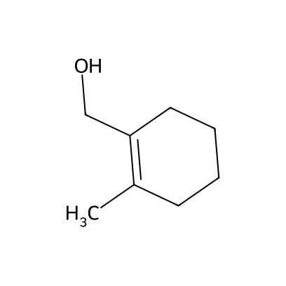 CC1=C(CO)CCCC1